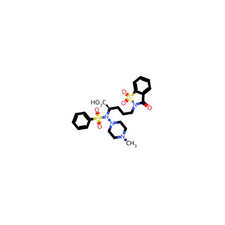 CN1CCN(N([C@H](CCCN2C(=O)c3ccccc3S2(=O)=O)C(=O)O)S(=O)(=O)c2ccccc2)CC1